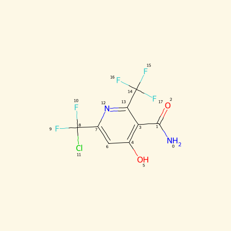 NC(=O)c1c(O)cc(C(F)(F)Cl)nc1C(F)(F)F